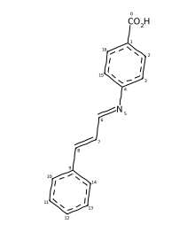 O=C(O)c1ccc(/N=C/C=C/c2ccccc2)cc1